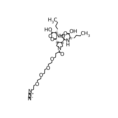 CCCC[C@H](NC(=O)[C@H]1CN(C(=O)CCOCCOCCOCCOCCN=[N+]=[N-])C[C@@H]1C(=O)N[C@@H](CCCC)C(=O)O)C(=O)O